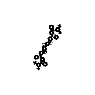 CC(C)(C)c1cc(-n2c3ccccc3c3ccc(N(c4ccccc4)c4ccc5c(c4)oc4cc6c(cc45)oc4cc5c(cc46)oc4cc(N(c6ccccc6)c6ccc7c8ccccc8n(-c8cc(C(C)(C)C)cc(C(C)(C)C)c8)c7c6)ccc45)cc32)cc(C(C)(C)C)c1